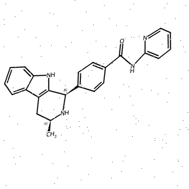 C[C@H]1Cc2c([nH]c3ccccc23)[C@@H](c2ccc(C(=O)Nc3ccccn3)cc2)N1